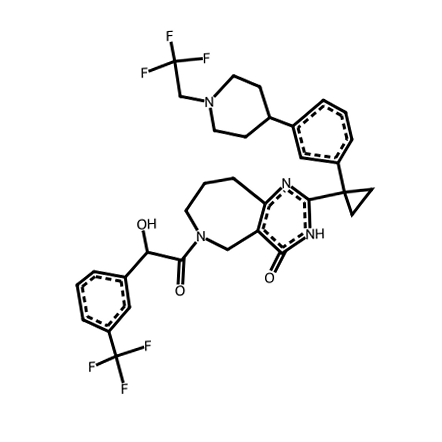 O=C(C(O)c1cccc(C(F)(F)F)c1)N1CCCc2nc(C3(c4cccc(C5CCN(CC(F)(F)F)CC5)c4)CC3)[nH]c(=O)c2C1